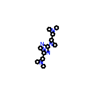 N#Cc1cc(-n2c3ccccc3c3cc(-c4ccc5c(c4)c4ccccc4n5-c4ccccc4)ccc32)cc(C#N)c1-n1c2ccccc2c2cc(-c3ccc4c(c3)c3ccccc3n4-c3ccccc3)ccc21